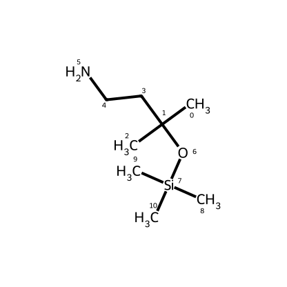 CC(C)(CCN)O[Si](C)(C)C